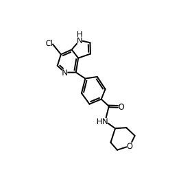 O=C(NC1CCOCC1)c1ccc(-c2ncc(Cl)c3[nH]ccc23)cc1